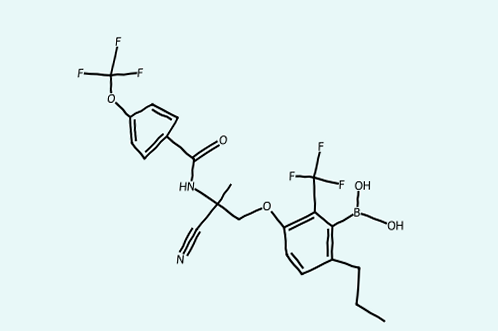 CCCc1ccc(OCC(C)(C#N)NC(=O)c2ccc(OC(F)(F)F)cc2)c(C(F)(F)F)c1B(O)O